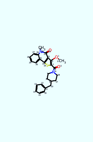 COc1c(C(=O)N2CCC(Cc3ccccc3)CC2)sc2c1c(=O)n(C)c1ccccc21